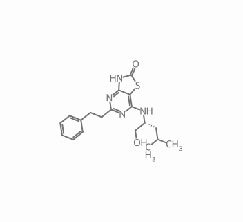 CC(C)C[C@H](CO)Nc1nc(CCc2ccccc2)nc2[nH]c(=O)sc12